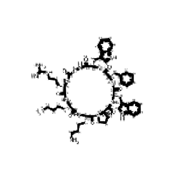 N=C(N)NCCC[C@@H]1NC(=O)CNC(=O)[C@H](Cc2c[nH]c3ccccc23)NC(=O)[C@H](Cc2ccccc2)NC(=O)[C@H](Cc2c[nH]c3ccccc23)NC(=O)[C@@H]2CCCN2C(=O)[C@H](CCCCN)NC(=O)[C@H](CCCCN)NC1=O